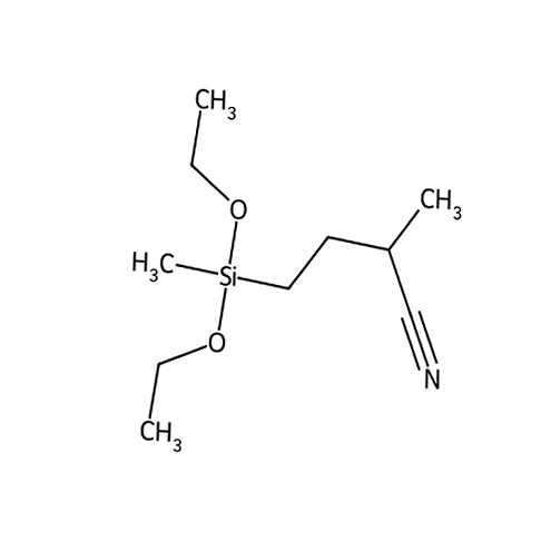 CCO[Si](C)(CCC(C)C#N)OCC